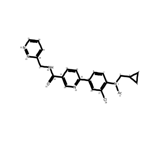 CC(=O)N(CC1CC1)c1ccc(-c2ccc(C(=O)NCc3cccnn3)cn2)cc1Cl